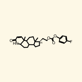 CC12C=CC(=O)NC1CCC1C2CCC2(C)C1CC[C@@H]2CCOC(=O)Oc1ccc(F)cc1